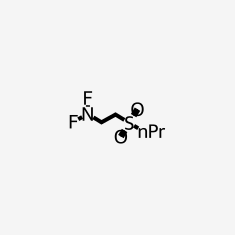 CCCS(=O)(=O)CCN(F)F